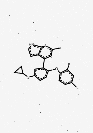 Cc1cc(-c2cc(SC3CC3)ccc2Oc2ccc(F)cc2F)c2cc[nH]c2n1